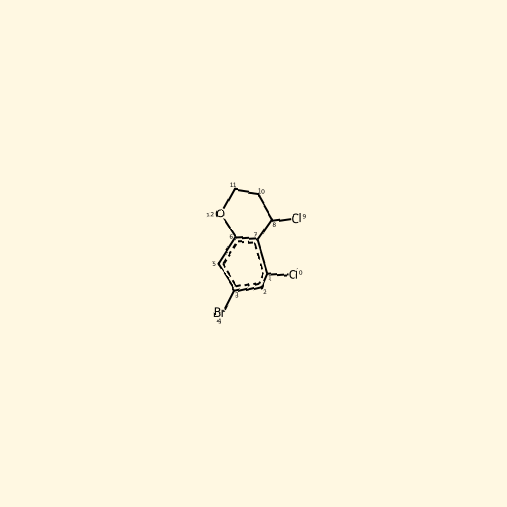 Clc1cc(Br)cc2c1C(Cl)CCO2